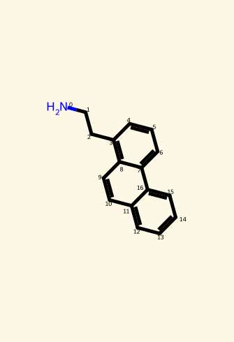 NCCc1cccc2c1ccc1ccccc12